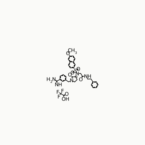 COc1ccc2cc(S(=O)(=O)N(CC(=O)NCCc3ccccc3)[C@H]3CCN(Cc4cccc(C(=N)N)c4)C3=O)ccc2c1.O=C(O)C(F)(F)F